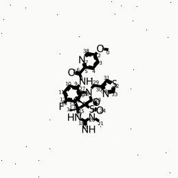 COc1ccc(C(=O)Nc2ccc(F)c([C@@]3(C)NC(=N)N(C)S(=O)(=O)[C@]34CCN(Cc3cscn3)C4)c2)nc1